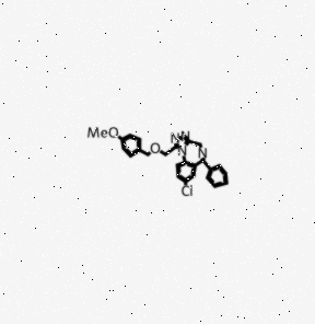 COc1ccc(COCc2nnc3n2-c2ccc(Cl)cc2C(c2ccccc2)=NC3)cc1